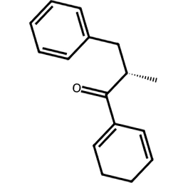 C[C@@H](Cc1ccccc1)C(=O)C1=CCCC=C1